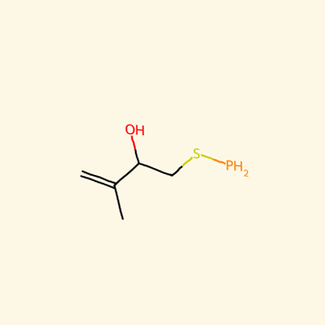 C=C(C)C(O)CSP